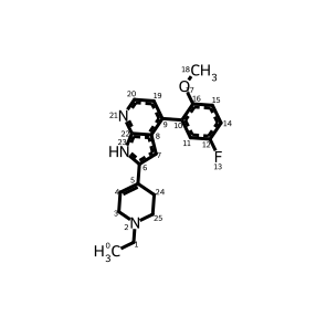 CCN1CC=C(c2cc3c(-c4cc(F)ccc4OC)ccnc3[nH]2)CC1